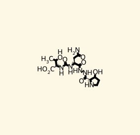 CC(O)[C@H](NC(=O)N[C@@H](CC(N)=O)C(=O)NNC(=O)[C@H]1NCCC1O)C(=O)O